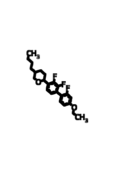 CCCCC1CCC(c2ccc(-c3ccc(OCC)cc3F)c(F)c2F)OC1